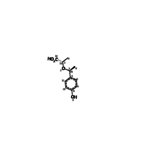 C[C@H](O[C@@H](C)c1ccc(O)cc1)C(=O)O